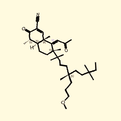 CCC(C)(C)CC[C@](C)(CCCOC)CCC(C)(C)[C@]1(C)CC[C@H]2[C@H](C)C(=O)C(C#N)=C[C@]2(C)/C1=C/C(C)=O